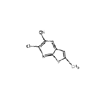 Cc1cc2cc(C#N)c(Cl)nc2s1